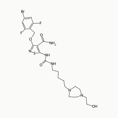 NC(=O)c1c(OCc2c(F)cc(Br)cc2F)nsc1NC(=O)NCCCCCN1CCN(CCO)CC1